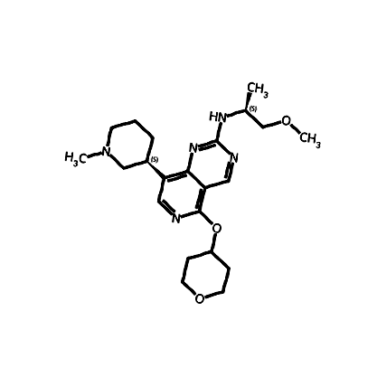 COC[C@H](C)Nc1ncc2c(OC3CCOCC3)ncc([C@@H]3CCCN(C)C3)c2n1